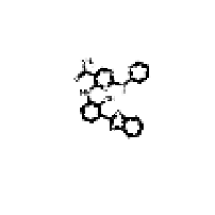 NC(=O)c1cnc(Nc2ccccn2)nc1Nc1cccc(-c2nc3ccccc3o2)c1O